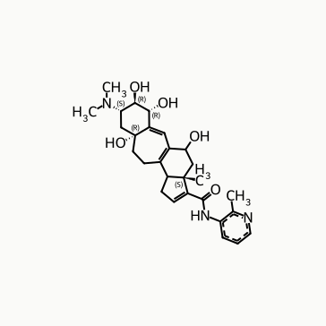 Cc1ncccc1NC(=O)C1=CCC2C3=C(C=C4[C@@H](O)[C@H](O)[C@@H](N(C)C)C[C@]4(O)CC3)C(O)C[C@]12C